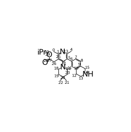 Cc1nc(C)c(-c2ccc3c(c2)CCNC3)c(N2CCC(C)(C)CC2)c1CC(=O)OC(C)C